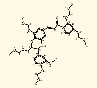 COCOCC1Oc2c(OCOC)cc(C=CC(=O)c3ncc(OCOC)cc3OCOC)cc2OC1c1ccc(OCOC)c(OC)c1